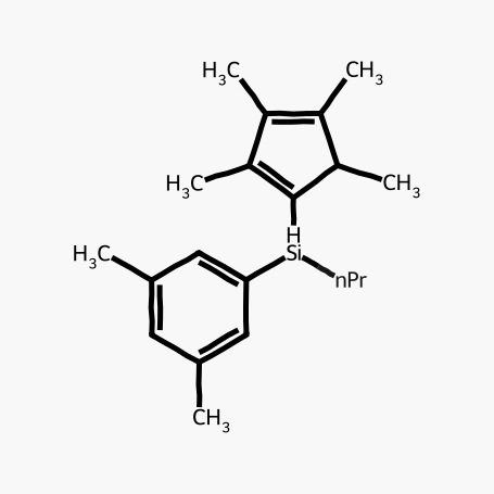 CCC[SiH](C1=C(C)C(C)=C(C)C1C)c1cc(C)cc(C)c1